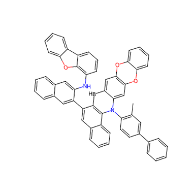 Cc1cc(-c2ccccc2)ccc1N1c2cc3c(cc2Bc2c(-c4cc5ccccc5cc4Nc4cccc5c4oc4ccccc45)cc4ccccc4c21)Oc1ccccc1O3